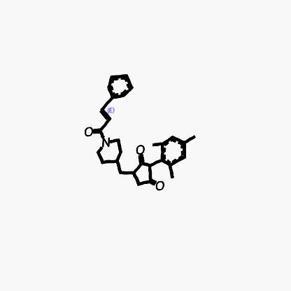 Cc1cc(C)c(C2C(=O)CC(CC3CCN(C(=O)/C=C/c4ccccc4)CC3)C2=O)c(C)c1